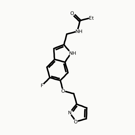 CCC(=O)NCc1cc2cc(F)c(OCc3ccon3)cc2[nH]1